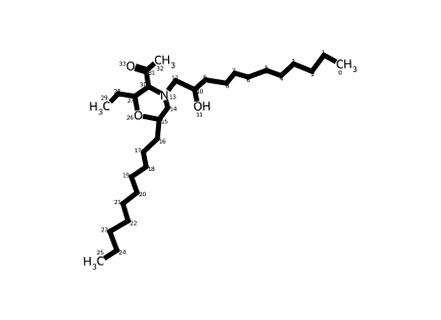 CCCCCCCCCCC(O)CN1CC(CCCCCCCCCC)OC(CC)C1C(C)=O